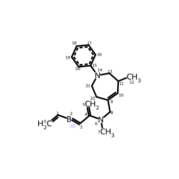 C=C/B=C\C(=C)N(C)CC1=CC(C)CN(c2ccccc2)CC1